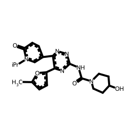 Cc1ccc(-c2nc(NC(=O)N3CCC(O)CC3)nnc2-c2ccc(=O)n(C(C)C)c2)o1